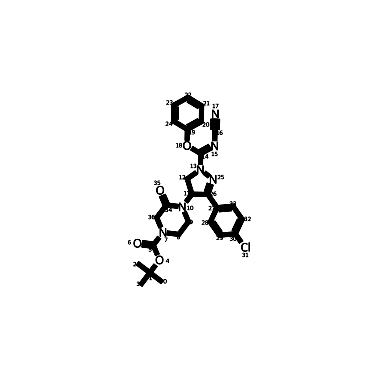 CC(C)(C)OC(=O)N1CCN(C2CN(C(=NC#N)Oc3ccccc3)N=C2c2ccc(Cl)cc2)C(=O)C1